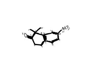 CC1(C)C(=O)CCc2ccc([N+](=O)[O-])cc21